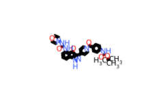 CC(C)(C)OC(=O)NC1CCC(C(=O)N2CCC(c3n[nH]c4c3C(=O)c3c(NC(=O)NN5CCOCC5)cccc3-4)CC2)CC1